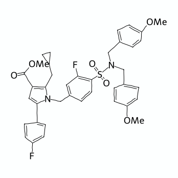 COC(=O)c1cc(-c2ccc(F)cc2)n(Cc2ccc(S(=O)(=O)N(Cc3ccc(OC)cc3)Cc3ccc(OC)cc3)c(F)c2)c1CC1CC1